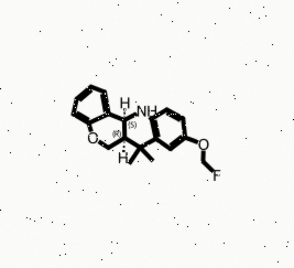 CC1(C)c2cc(OCF)ccc2N[C@@H]2c3ccccc3OC[C@@H]21